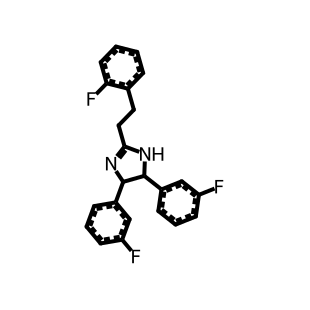 Fc1cccc(C2N=C(CCc3ccccc3F)NC2c2cccc(F)c2)c1